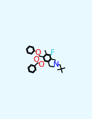 Cc1c(F)c2c(c(OCc3ccccc3)c1C(=O)Oc1ccccc1)CCN(CC(C)(C)C)C2